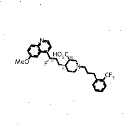 COc1ccc2nccc([C@@H](F)CC[C@@H]3CCN(CCCc4ccccc4C(F)(F)F)C[C@@H]3C(=O)O)c2c1